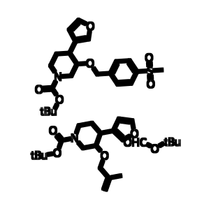 C=C(C)COC1CN(C(=O)OC(C)(C)C)CCC1c1ccoc1.CC(C)(C)OC(=O)N1CCC(c2ccoc2)C(OCc2ccc(S(C)(=O)=O)cc2)C1.CC(C)(C)OC=O